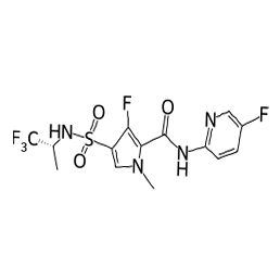 C[C@@H](NS(=O)(=O)c1cn(C)c(C(=O)Nc2ccc(F)cn2)c1F)C(F)(F)F